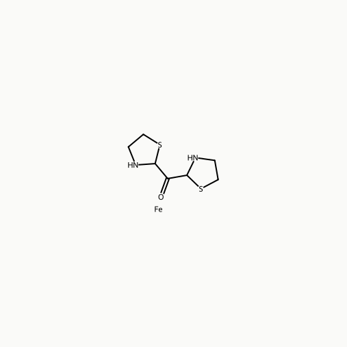 O=C(C1NCCS1)C1NCCS1.[Fe]